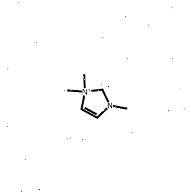 [CH2][N+]1(C)C=CN(C)C1